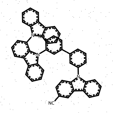 N#Cc1ccc2c(c1)c1ccccc1n2-c1cccc(-c2ccc(C#N)c(-n3c4ccccc4c4cccc(-n5c6ccccc6c6ccccc65)c43)c2)c1